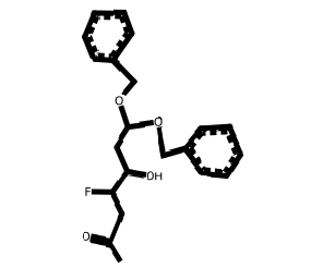 CC(=O)CC(F)C(O)CC(OCc1ccccc1)OCc1ccccc1